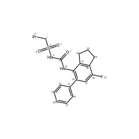 CC(C)CS(=O)(=O)NC(=O)Nc1c(-c2ccncc2)cc(F)c2c1CCC2